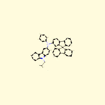 CC(C)Cn1c2ccccc2c2cc(N(c3ccccc3)c3ccc4c(c3)C3(c5ccccc5-c5ccccc53)c3ccccc3-4)ccc21